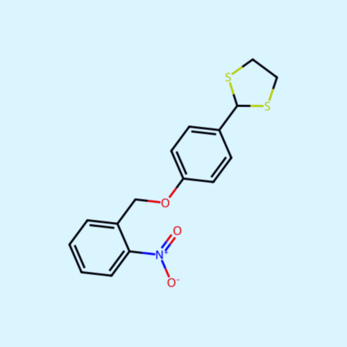 O=[N+]([O-])c1ccccc1COc1ccc(C2SCCS2)cc1